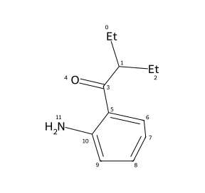 CCC(CC)C(=O)c1ccccc1N